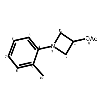 CC(=O)OC1CN(c2ccccc2C)C1